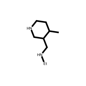 CCNCC1CNCCC1C